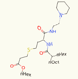 CCCCCCCCC(CCCCCC)C(=O)NC(CCSCCC(=O)OCCCCCC)C(=O)NCCN1CCCCC1